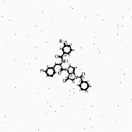 O=C(NC(Cc1cccc(F)c1)C(=O)N1CCC2C1C(=O)CN2C(=O)c1ccccc1)c1cccc(Br)c1